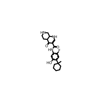 CC1(c2cc(F)c(NC(=O)C3=CNC4CNCCC4C3=O)cc2O)CCCCC1